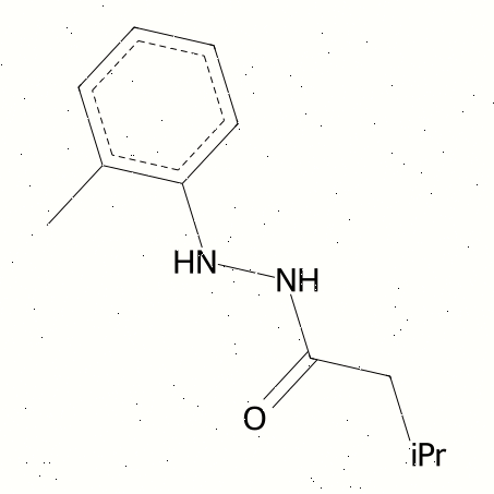 Cc1ccccc1NNC(=O)CC(C)C